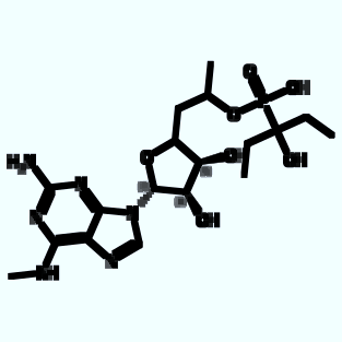 CCC(O)(CC)P(=O)(O)OC(C)CC1O[C@@H](n2cnc3c(NC)nc(N)nc32)[C@H](O)[C@@H]1O